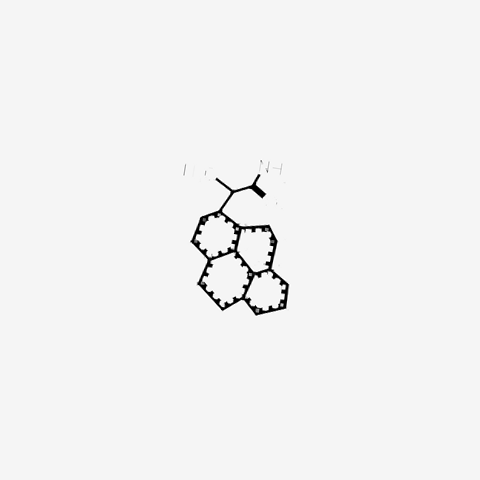 CC(C(N)=O)c1ccc2ccc3cccc4ccc1c2c34